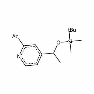 CC(=O)c1cc(C(C)O[Si](C)(C)C(C)(C)C)ccn1